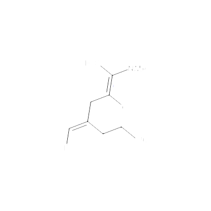 CC/C=C(\CCC(C)CC)C/C(C)=C(\C)NC